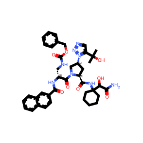 CC(C)(O)c1cnnn1[C@H]1C[C@@H](C(=O)NC2(C(O)C(N)=O)CCCCC2)N(C(=O)[C@@H](CNC(=O)OCc2ccccc2)NC(=O)c2ccc3ccccc3c2)C1